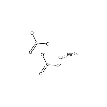 O=[Si]([O-])[O-].O=[Si]([O-])[O-].[Ca+2].[Mn+2]